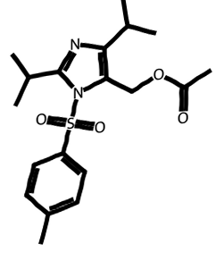 CC(=O)OCc1c(C(C)C)nc(C(C)C)n1S(=O)(=O)c1ccc(C)cc1